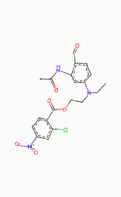 CCN(CCOC(=O)c1ccc([N+](=O)[O-])cc1Cl)c1ccc(C=O)c(NC(C)=O)c1